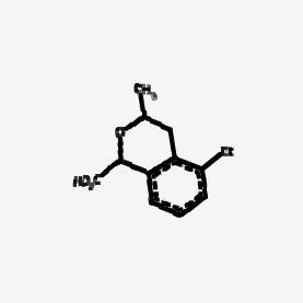 CCc1cccc2c1CC(C)OC2C(=O)O